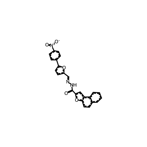 O=C(N/N=C/c1ccc(-c2ccc([N+](=O)[O-])cc2)o1)c1cc2c(ccc3ccccc32)o1